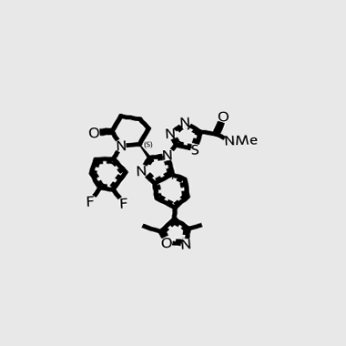 CNC(=O)c1nnc(-n2c([C@@H]3CCCC(=O)N3c3ccc(F)c(F)c3)nc3cc(-c4c(C)noc4C)ccc32)s1